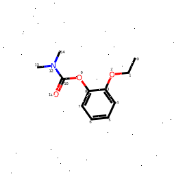 CCOc1ccccc1OC(=O)N(C)C